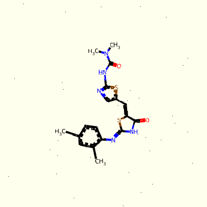 Cc1ccc(/N=C2/NC(=O)/C(=C/c3cnc(NC(=O)N(C)C)s3)S2)c(C)c1